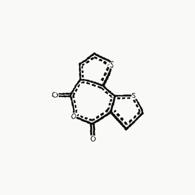 O=c1oc(=O)c2ccsc2c2sccc12